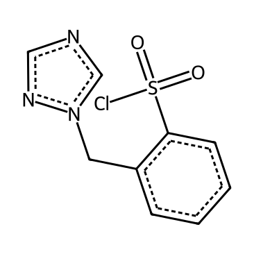 O=S(=O)(Cl)c1ccccc1Cn1cncn1